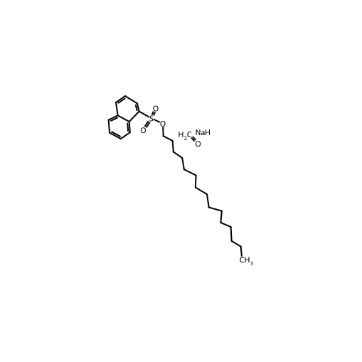 C=O.CCCCCCCCCCCCCCCOS(=O)(=O)c1cccc2ccccc12.[NaH]